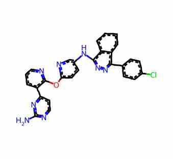 Nc1nccc(-c2cccnc2Oc2ccc(Nc3nnc(-c4ccc(Cl)cc4)c4ccccc34)cn2)n1